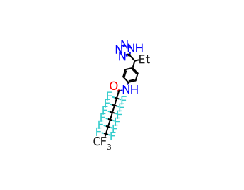 CCC(c1ccc(NC(=O)C(F)(F)C(F)(F)C(F)(F)C(F)(F)C(F)(F)C(F)(F)C(F)(F)F)cc1)c1nnn[nH]1